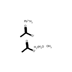 CC(=O)[O-].CC(=O)[O-].O.O.O.[PbH2+2]